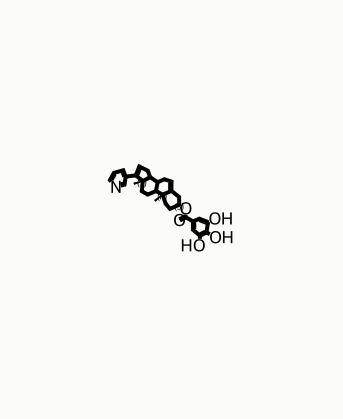 C[C@]12CC[C@H](OC(=O)c3cc(O)c(O)c(O)c3)CC1=CCC1C2CC[C@]2(C)C(c3cccnc3)=CCC12